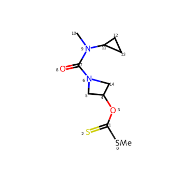 CSC(=S)OC1CN(C(=O)N(C)C2CC2)C1